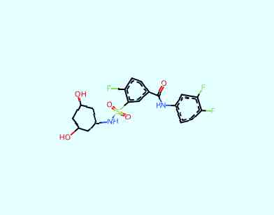 O=C(Nc1ccc(F)c(F)c1)c1ccc(F)c(S(=O)(=O)NC2CC(O)CC(O)C2)c1